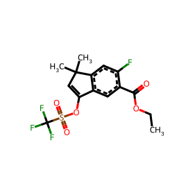 CCOC(=O)c1cc2c(cc1F)C(C)(C)C=C2OS(=O)(=O)C(F)(F)F